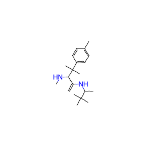 C=C(NC(C)C(C)(C)C)C(NC)C(C)(C)c1ccc(C)cc1